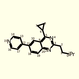 CC(C)CCc1nc(C2CC2)c2cc(-c3ccncc3)ccc2n1